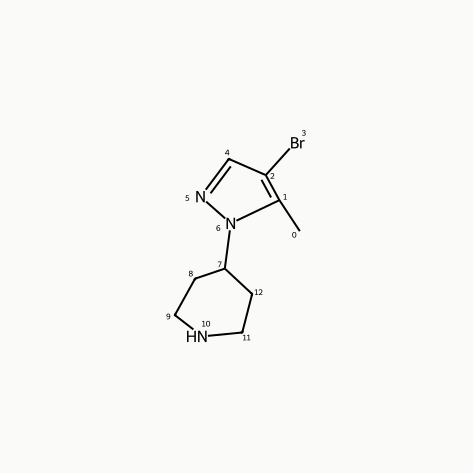 Cc1c(Br)cnn1C1CCNCC1